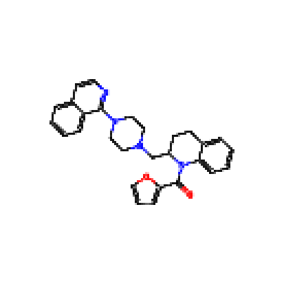 O=C(c1ccco1)N1c2ccccc2CCC1CN1CCN(c2nccc3ccccc23)CC1